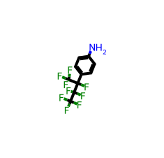 Nc1ccc(C(F)(C(F)(F)F)C(F)(F)C(F)(F)F)cc1